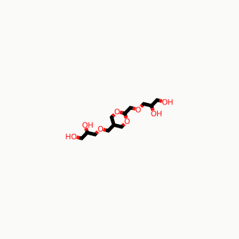 OCC(O)COCC1COC(COCC(O)CO)OC1